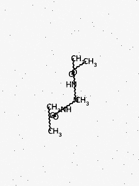 CCCCCCCCC(CCCCCC)COC(=O)CCCCCNCCCCCCCCN(C)CCCCCCCCNCCCCCC(=O)OCC(CCCCCC)CCCCCCCC